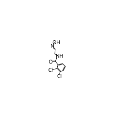 O=C(NC/C=N/O)c1cccc(Cl)c1Cl